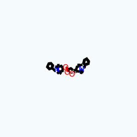 CC1(C)CC(OC(=O)[CH2][Co](=[O])[CH]2CC(C)(C)N(Cc3ccccc3)C(C)(C)C2)CC(C)(C)N1Cc1ccccc1